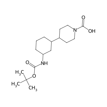 CC(C)(C)OC(=O)NC1CCCC(C2CCN(C(=O)O)CC2)C1